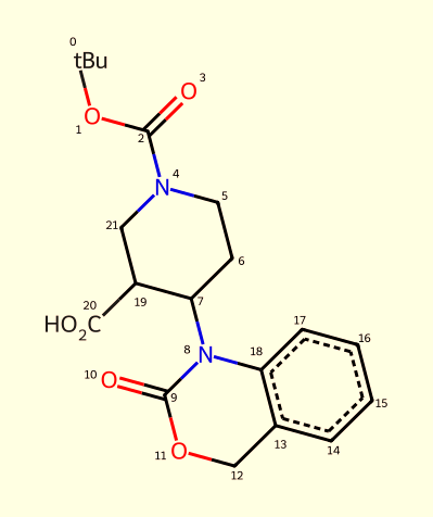 CC(C)(C)OC(=O)N1CCC(N2C(=O)OCc3ccccc32)C(C(=O)O)C1